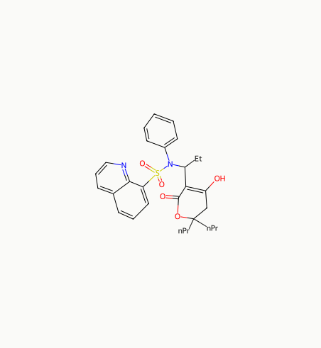 CCCC1(CCC)CC(O)=C(C(CC)N(c2ccccc2)S(=O)(=O)c2cccc3cccnc23)C(=O)O1